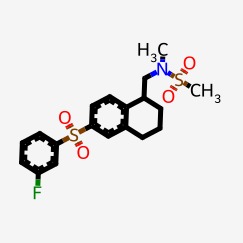 CN(CC1CCCc2cc(S(=O)(=O)c3cccc(F)c3)ccc21)S(C)(=O)=O